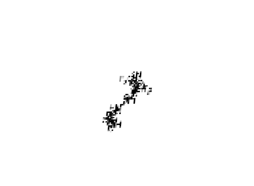 CC1(C)C(=O)N(c2ccc(C#N)c(C(F)(F)F)c2F)C(=S)N1c1ccc([C@@H]2C[C@H]2C(=O)NCCCCNC(=O)COc2cccc3c2C(=O)N(C2CCC(=O)NC2=O)C3=O)nc1